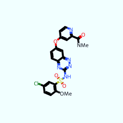 CNC(=O)c1cc(Oc2ccc3nc(NS(=O)(=O)c4cc(Cl)ccc4OC)nnc3c2)ccn1